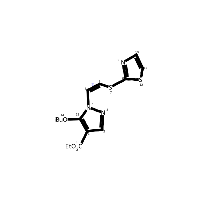 CCOC(=O)c1cnn(/C=C\Sc2nccs2)c1OCC(C)C